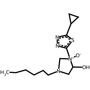 CCCCCCN1CC(O)[N+]([O-])(c2nnc(C3CC3)s2)C1